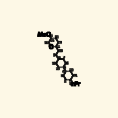 CCCC1CCC(C2CCC(CCC3CCC(OC)CO3)CC2)CC1